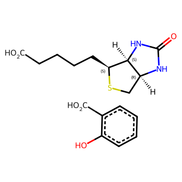 O=C(O)CCCC[C@@H]1SC[C@@H]2NC(=O)N[C@@H]21.O=C(O)c1ccccc1O